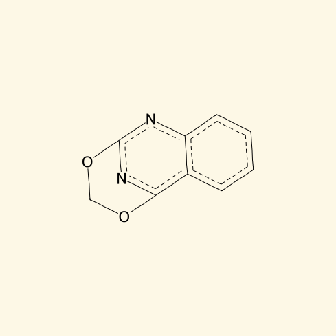 c1ccc2c3nc(nc2c1)OCO3